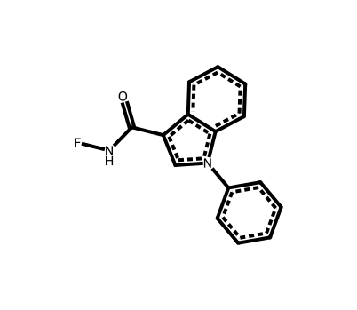 O=C(NF)c1cn(-c2ccccc2)c2ccccc12